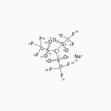 O=S(=O)([C-](S(=O)(=O)C(F)(F)F)S(=O)(=O)C(F)(F)F)C(F)(F)F.[Na+]